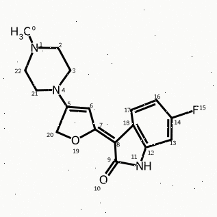 CN1CCN(C2=C/C(=C3/C(=O)Nc4cc(F)ccc43)OC2)CC1